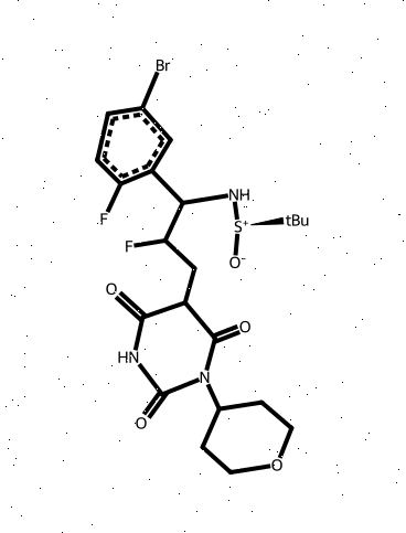 CC(C)(C)[S@@+]([O-])NC(c1cc(Br)ccc1F)C(F)CC1C(=O)NC(=O)N(C2CCOCC2)C1=O